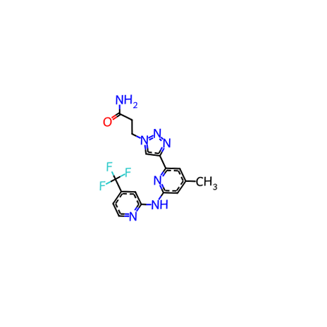 Cc1cc(Nc2cc(C(F)(F)F)ccn2)nc(-c2cn(CCC(N)=O)nn2)c1